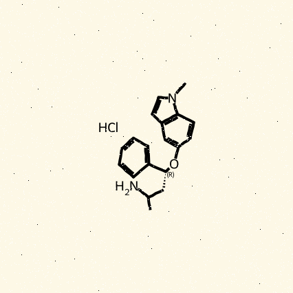 CC(N)C[C@@H](Oc1ccc2c(ccn2C)c1)c1ccccc1.Cl